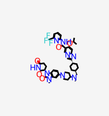 CC(C)Oc1cc2nc([C@H]3CC[C@H](CN(C)C4CCN(c5ccc6c(c5)n(C)c(=O)n6C5CCC(=O)NC5=O)CC4)CC3)cn2cc1C(=O)Nc1cccc(C(F)(F)F)n1